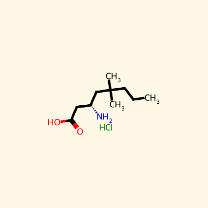 CCCC(C)(C)C[C@H](N)CC(=O)O.Cl